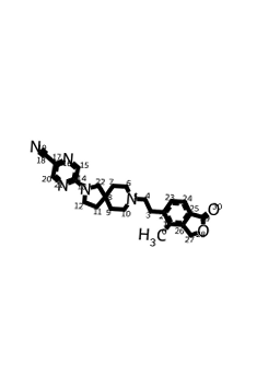 Cc1c(CCN2CCC3(CC2)CCN(c2cnc(C#N)cn2)C3)ccc2c1COC2=O